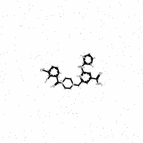 NC(=O)c1cc(CN2CCN(C(=O)c3cccc(Cl)c3F)CC2)nc(Nc2nccs2)c1